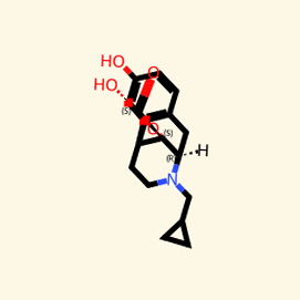 O=C1O[C@@]23CC[C@]1(O)CC21CCN(CC2CC2)[C@@H]3Cc2ccc(O)cc21